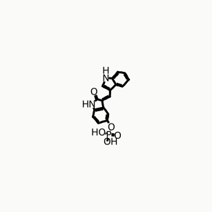 O=C1Nc2ccc(OP(=O)(O)O)cc2C1=Cc1c[nH]c2ccccc12